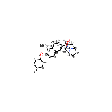 C[C@H]1CC[C@@H](Oc2ccc3cc(C(=O)N4C5CCC4CC(C(=O)O)C5)ccc3c2C#N)CC1